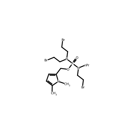 CCCN(CCBr)P(=O)(OCc1ccc(C)n1C)N(CCBr)CCBr